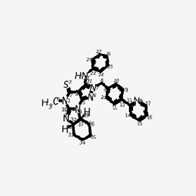 CN1C(=S)c2c(nn(Cc3ccc(-c4ccccn4)cc3)c2Nc2ccccc2)N2C1=N[C@H]1CCCC[C@H]12